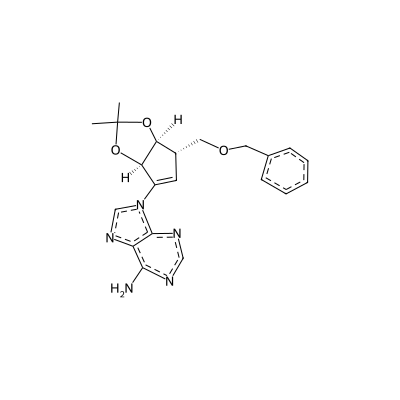 CC1(C)O[C@@H]2[C@H](O1)C(n1cnc3c(N)ncnc31)=C[C@H]2COCc1ccccc1